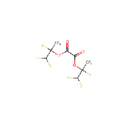 O=C(OC(F)(C(F)F)C(F)(F)F)C(=O)OC(F)(C(F)F)C(F)(F)F